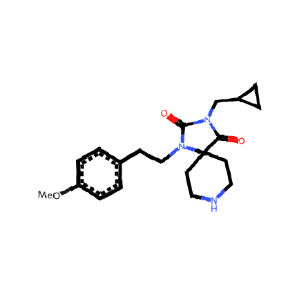 COc1ccc(CCN2C(=O)N(CC3CC3)C(=O)C23CCNCC3)cc1